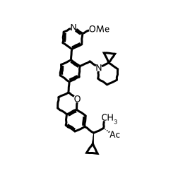 COc1cc(-c2ccc(C3CCc4ccc([C@H](C5CC5)[C@H](C)C(C)=O)cc4O3)cc2CN2CCCCC23CC3)ccn1